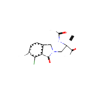 C#C[C@](CN1Cc2ccc(OC)c(F)c2C1=O)(NC(=O)OC)C(=O)OC